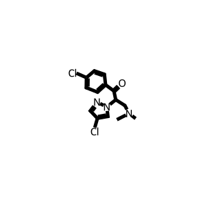 CN(C)CC(C(=O)c1ccc(Cl)cc1)n1cc(Cl)cn1